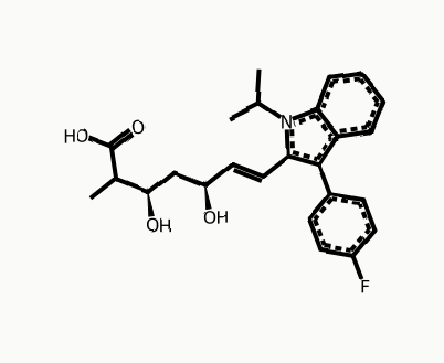 CC(C(=O)O)[C@H](O)C[C@H](O)/C=C/c1c(-c2ccc(F)cc2)c2ccccc2n1C(C)C